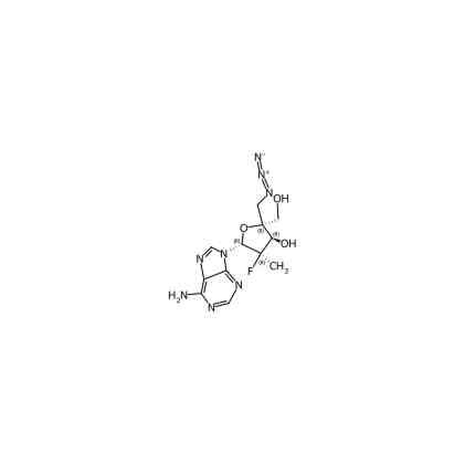 C[C@@]1(F)[C@H](O)[C@](CO)(CN=[N+]=[N-])O[C@H]1n1cnc2c(N)ncnc21